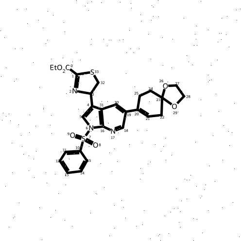 CCOC(=O)C1=NC(c2cn(S(=O)(=O)c3ccccc3)c3ncc(C4=CCC5(CC4)OCCO5)cc23)CS1